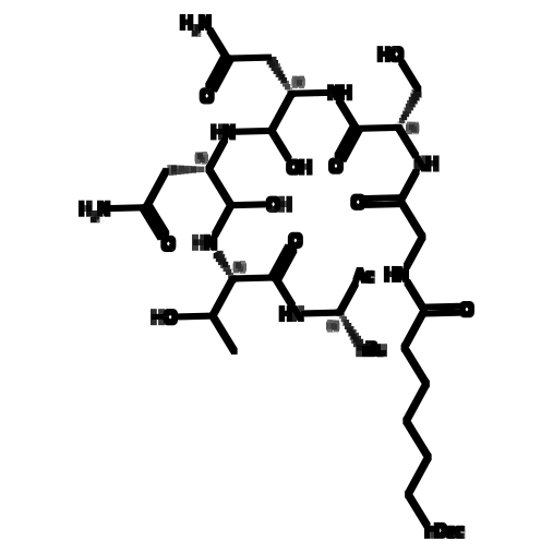 CCCCCCCCCCCCCCCC(=O)NCC(=O)N[C@@H](CO)C(=O)N[C@@H](CC(N)=O)C(O)N[C@@H](CC(N)=O)C(O)N[C@H](C(=O)N[C@@H](CCCC)C(C)=O)C(C)O